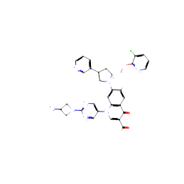 CN(C)C1CN(c2ncc(-n3cc(C(=O)O)c(=O)c4cc(Cl)c(N5CC(c6cccnc6)C[C@@H]5COc5ncccc5Cl)cc43)cn2)C1